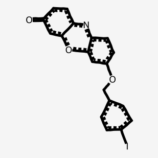 O=c1ccc2nc3ccc(OCc4ccc(I)cc4)cc3oc-2c1